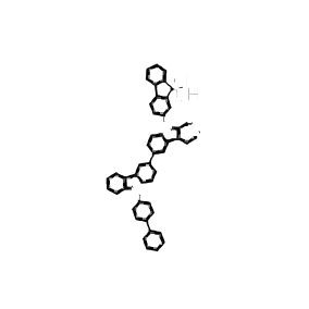 CC1(C)c2ccccc2-c2ccc(-n3c4ccc(-c5ccc6c(c5)c5ccccc5n6-c5ccc(-c6ccccc6)cc5)cc4c4ccncc43)cc21